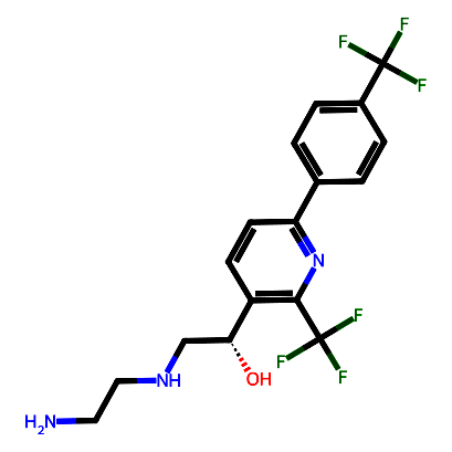 NCCNC[C@@H](O)c1ccc(-c2ccc(C(F)(F)F)cc2)nc1C(F)(F)F